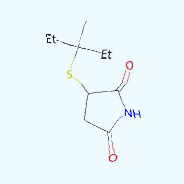 CCC(C)(CC)SC1CC(=O)NC1=O